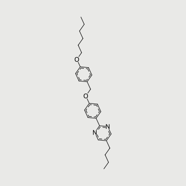 CCCCCCOc1ccc(COc2ccc(-c3ncc(CCCC)cn3)cc2)cc1